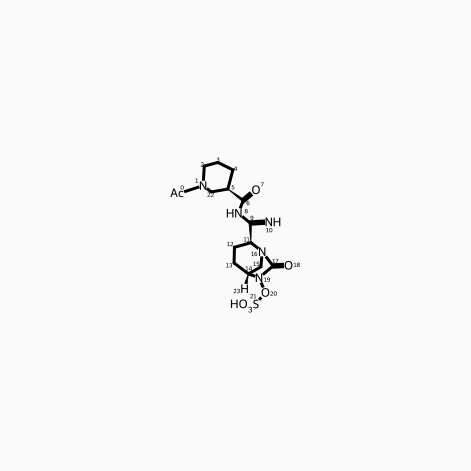 CC(=O)N1CCC[C@@H](C(=O)NC(=N)[C@@H]2CC[C@@H]3CN2C(=O)N3OS(=O)(=O)O)C1